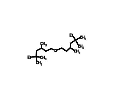 CCC(C)(C)CC(C)CCOCCC(C)CC(C)(C)CC